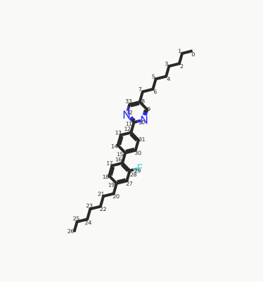 CCCCCCCCc1cnc(-c2ccc(-c3ccc(CCCCCCC)cc3F)cc2)nc1